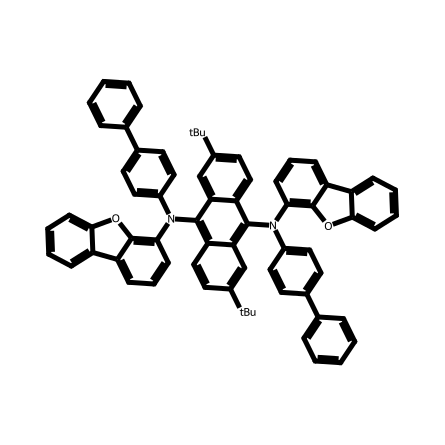 CC(C)(C)c1ccc2c(N(c3ccc(-c4ccccc4)cc3)c3cccc4c3oc3ccccc34)c3cc(C(C)(C)C)ccc3c(N(c3ccc(-c4ccccc4)cc3)c3cccc4c3oc3ccccc34)c2c1